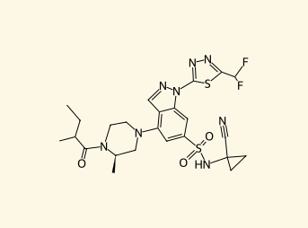 CCC(C)C(=O)N1CCN(c2cc(S(=O)(=O)NC3(C#N)CC3)cc3c2cnn3-c2nnc(C(F)F)s2)C[C@H]1C